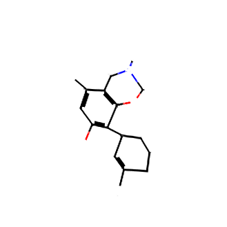 CC1=CC(c2c(O)cc(C)c3c2OCN(C)C3)CCC1